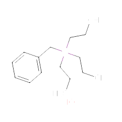 CCC[P+](CCC)(CCC)Cc1ccccc1.[OH-]